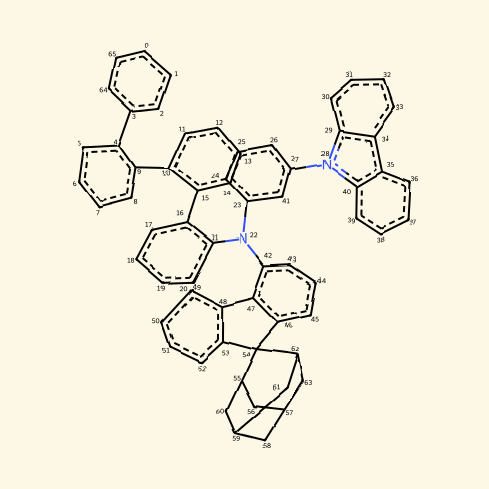 c1ccc(-c2ccccc2-c2ccccc2-c2ccccc2N(c2cccc(-n3c4ccccc4c4ccccc43)c2)c2cccc3c2-c2ccccc2C32C3CC4CC(C3)CC2C4)cc1